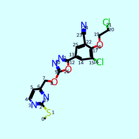 CSc1nccc(COc2nnc(-c3cc(Cl)c(OCCCl)c(C#N)c3)o2)n1